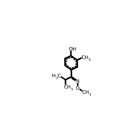 CON=C(c1ccc(O)c(C)c1)C(C)C